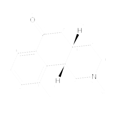 Cc1cccc2c1[C@H]1CN(C)CC[C@H]1CC2=O